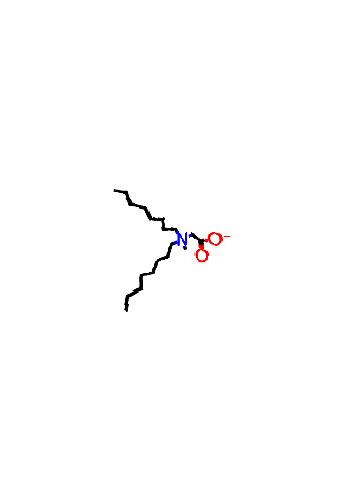 CCCCCCCC[N+](C)(CCCCCCCC)CC(=O)[O-]